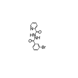 O=C(NNC(=O)c1ccccn1)c1cccc(Br)c1